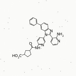 Nc1ncccc1-c1nc2ccc(-c3ccccc3)cc2n1-c1ccc(NC(=O)C2CCC(C(=O)O)C2)nc1